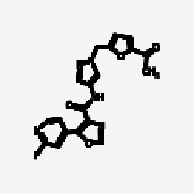 CC(=O)c1ccc(Cn2cc(NC(=O)c3ncoc3-c3ccnc(F)c3)cn2)o1